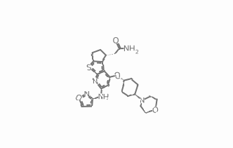 NC(=O)C[C@H]1CCc2sc3nc(Nc4ccon4)cc(O[C@H]4CC[C@H](N5CCOCC5)CC4)c3c21